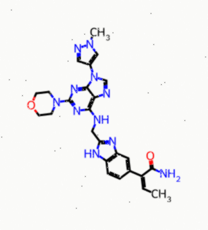 CC=C(C(N)=O)c1ccc2[nH]c(CNc3nc(N4CCOCC4)nc4c3ncn4-c3cnn(C)c3)nc2c1